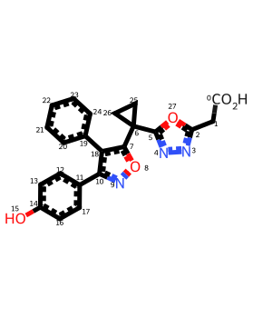 O=C(O)Cc1nnc(C2(c3onc(-c4ccc(O)cc4)c3-c3ccccc3)CC2)o1